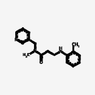 Cc1ccccc1NCCC(=O)N(C)Cc1cccnc1